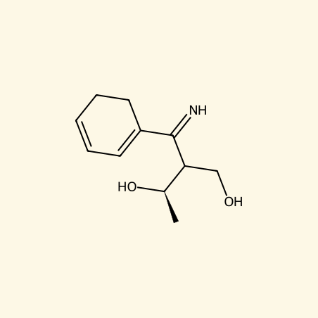 C[C@@H](O)C(CO)C(=N)C1=CC=CCC1